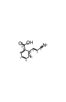 N#CC=Cc1ncccc1C(=O)O